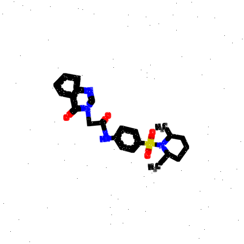 CC1CCCC(C)N1S(=O)(=O)c1ccc(NC(=O)Cn2cnc3ccccc3c2=O)cc1